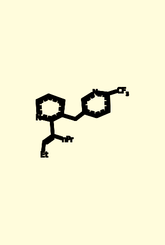 CC/C=C(\CCC)c1ncccc1Cc1ccc(C(F)(F)F)nc1